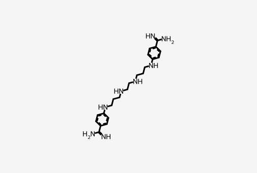 N=C(N)c1ccc(NCCCNCCNCCCNc2ccc(C(=N)N)cc2)cc1